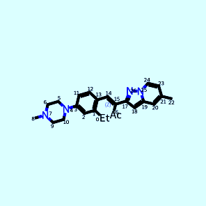 CCc1cc(N2CCN(C)CC2)ccc1/C=C(\C(C)=O)c1cc2cc(C)ccn2n1